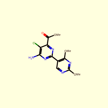 COC(=O)c1nc(-c2cnc(OC)nc2OC)nc(N)c1Cl